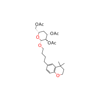 CC(=O)OC[C@@H]1C[C@H](OC(C)=O)[C@@H](OC(C)=O)[C@H](OCCCCc2ccc3c(c2)C(C)(C)CCO3)O1